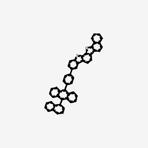 c1ccc2c(-c3c4ccccc4c(-c4ccc(-c5ccc6sc7c(ccc8c9ccc%10ccccc%10c9oc87)c6c5)cc4)c4ccccc34)cccc2c1